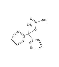 CC(OC(N)=O)(c1ccccc1)c1ccccc1